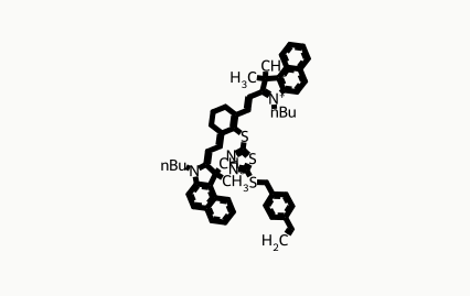 C=Cc1ccc(CSc2nnc(SC3=C(/C=C/C4=[N+](CCCC)c5ccc6ccccc6c5C4(C)C)CCC/C3=C\C=C3\N(CCCC)c4ccc5ccccc5c4C3(C)C)s2)cc1